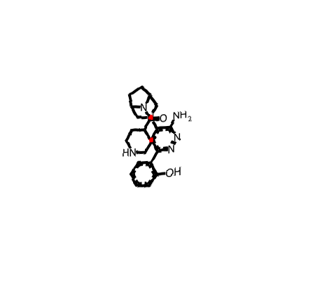 Nc1nnc(-c2ccccc2O)cc1N1CC2CCC(C1)N2C(=O)C1CCNCC1